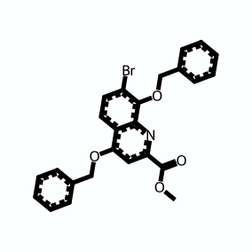 COC(=O)c1cc(OCc2ccccc2)c2ccc(Br)c(OCc3ccccc3)c2n1